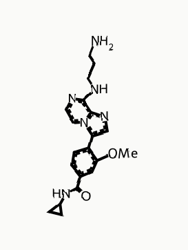 COc1cc(C(=O)NC2CC2)ccc1-c1cnc2c(NCCCN)nccn12